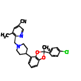 Cc1cc(C#N)cnc1CN1CCC(c2cccc3c2OC(C)(c2ccc(Cl)cc2)O3)CC1